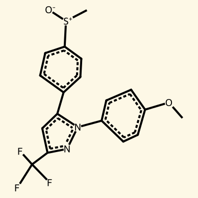 COc1ccc(-n2nc(C(F)(F)F)cc2-c2ccc([S+](C)[O-])cc2)cc1